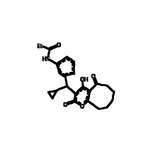 [CH2]CC(=O)Nc1cccc(C(c2c(O)c3c(oc2=O)CCCCCC3=O)C2CC2)c1